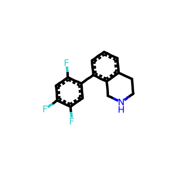 Fc1cc(F)c(-c2cccc3c2CNCC3)cc1F